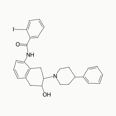 O=C(Nc1cccc2c1CC(N1CCC(c3ccccc3)CC1)C(O)C2)c1ccccc1I